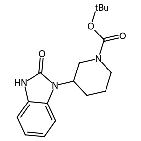 CC(C)(C)OC(=O)N1CCCC(n2c(=O)[nH]c3ccccc32)C1